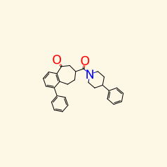 O=C1CC(C(=O)N2CCC(c3ccccc3)CC2)CCc2c1cccc2-c1ccccc1